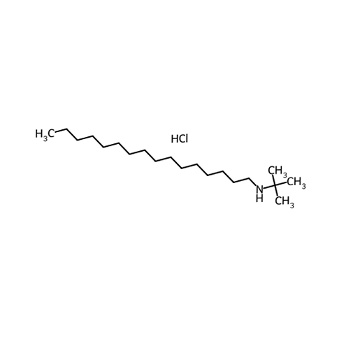 CCCCCCCCCCCCCCCCNC(C)(C)C.Cl